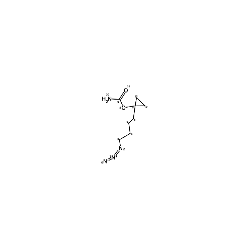 [N-]=[N+]=NCCCCC1(OC(N)=O)CC1